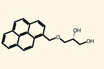 OC[C@@H](O)COCc1ccc2ccc3cccc4ccc1c2c34